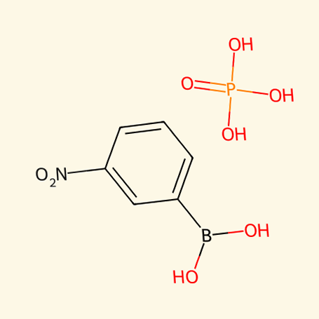 O=P(O)(O)O.O=[N+]([O-])c1cccc(B(O)O)c1